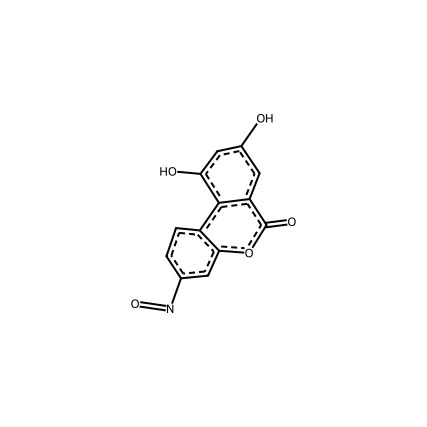 O=Nc1ccc2c(c1)oc(=O)c1cc(O)cc(O)c12